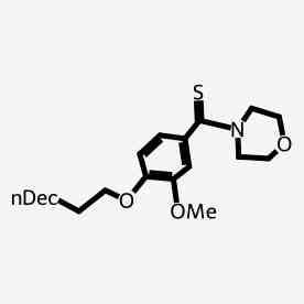 CCCCCCCCCCCCOc1ccc(C(=S)N2CCOCC2)cc1OC